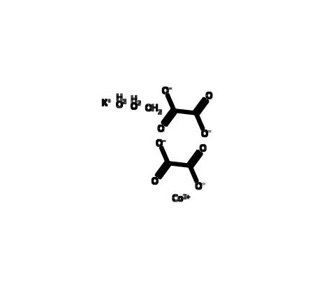 O.O.O.O=C([O-])C(=O)[O-].O=C([O-])C(=O)[O-].[Co+3].[K+]